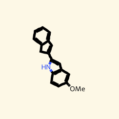 COc1ccc2[nH]c(C3=Cc4ccccc4C3)cc2c1